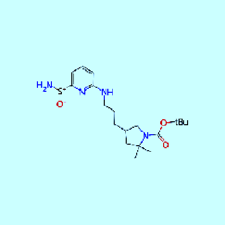 CC(C)(C)OC(=O)N1CC(CCCNc2cccc([S+](N)[O-])n2)CC1(C)C